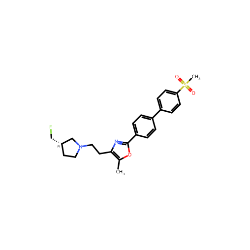 Cc1oc(-c2ccc(-c3ccc(S(C)(=O)=O)cc3)cc2)nc1CCN1CC[C@H](CF)C1